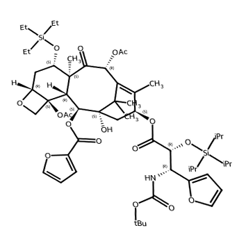 CC[Si](CC)(CC)O[C@H]1C[C@H]2OC[C@@]2(OC(C)=O)[C@H]2[C@H](OC(=O)c3ccco3)[C@]3(O)C[C@H](OC(=O)[C@H](O[Si](C(C)C)(C(C)C)C(C)C)[C@@H](NC(=O)OC(C)(C)C)c4ccco4)C(C)=C([C@@H](OC(C)=O)C(=O)[C@]12C)C3(C)C